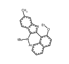 CCOc1ccc2ccccc2c1-c1nc2cc(C)ccn2c1N(C(C)=O)C(C)(C)C